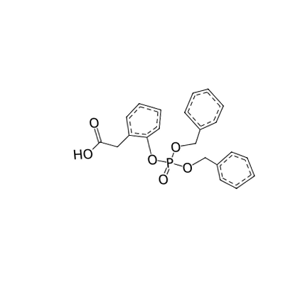 O=C(O)Cc1ccccc1OP(=O)(OCc1ccccc1)OCc1ccccc1